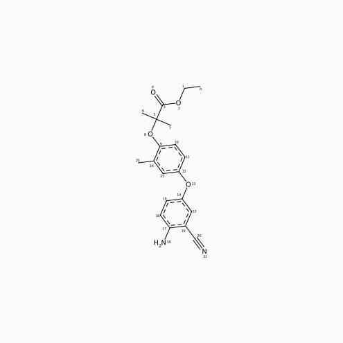 CCOC(=O)C(C)(C)Oc1ccc(Oc2ccc(N)c(C#N)c2)cc1C